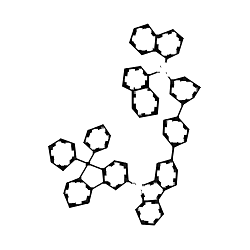 c1ccc(C2(c3ccccc3)c3ccccc3-c3cc(-n4c5ccccc5c5ccc(-c6ccc(-c7cccc(N(c8cccc9ccccc89)c8cccc9ccccc89)c7)cc6)cc54)ccc32)cc1